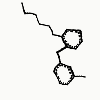 CCCCCCc1ccccc1Cc1cccc(C)c1